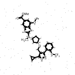 COC(=O)c1cc(OC(C)C)c2nc(N(C)[C@@H]3CC[C@H](OCc4c(-c5ccccc5OC(F)(F)F)noc4C4CC4)C3)sc2c1